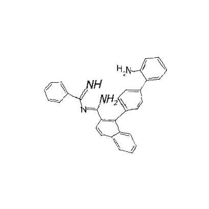 N=C(/N=C(\N)c1ccc2ccccc2c1-c1ccc(-c2ccccc2N)cc1)c1ccccc1